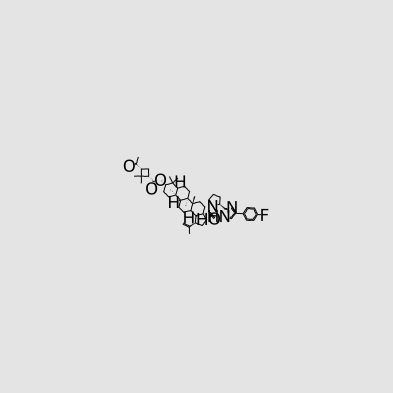 C=C(C)[C@@H]1CC[C@]2(C(=O)N3CCC[C@H]3c3nc(-c4ccc(F)cc4)c[nH]3)CC[C@]3(C)[C@H](CC[C@@H]4[C@@]5(C)CC[C@H](OC(=O)[C@H]6C[C@@H](C(C)=O)C6(C)C)C(C)(C)[C@@H]5CC[C@]43C)[C@@H]12